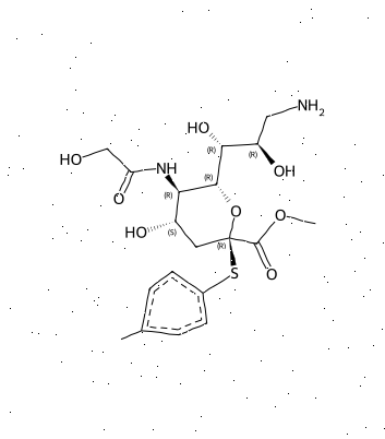 COC(=O)[C@]1(Sc2ccc(C)cc2)C[C@H](O)[C@@H](NC(=O)CO)[C@H]([C@H](O)[C@H](O)CN)O1